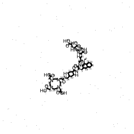 CNc1cc(C[C@@H](NC(=O)C2CCC(CNC(=O)CN3CCN(CC(=O)O)CCN(CC(=O)O)CCN(CC(=O)O)CC3)CC2)C(=O)NCCCC[C@H](NC(=O)N[C@@H](CCC(=O)O)C(=O)O)C(=O)O)cc2ccccc12